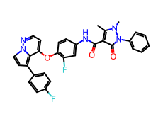 Cc1c(C(=O)Nc2ccc(Oc3ccnn4ccc(-c5ccc(F)cc5)c34)c(F)c2)c(=O)n(-c2ccccc2)n1C